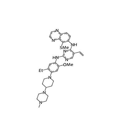 C=Cc1cnc(Nc2cc(CC)c(N3CCC(N4CCN(C)CC4)CC3)cc2OC)nc1Nc1ccc2nccnc2c1SC